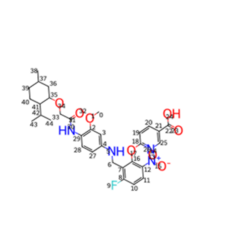 COc1cc(NCc2c(F)ccc([N+](=O)[O-])c2Oc2ccc(C(=O)O)cn2)ccc1NC(=O)COC1CC(C)CCC1C(C)C